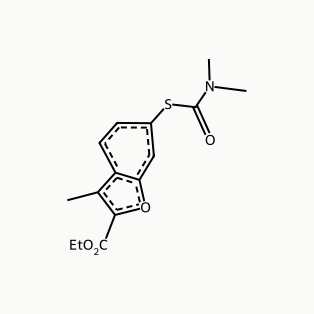 CCOC(=O)c1oc2cc(SC(=O)N(C)C)ccc2c1C